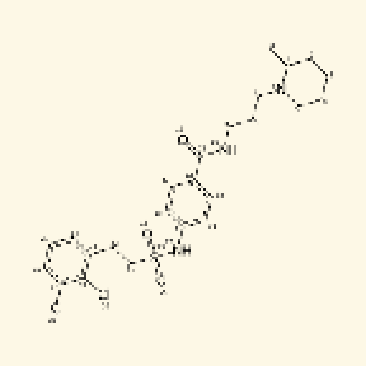 CC1CCCCN1CCCNC(=O)c1ccc(NS(=O)(=O)CCc2cccc(Cl)c2Cl)cc1